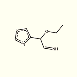 CCOC(C=N)c1cs[c]n1